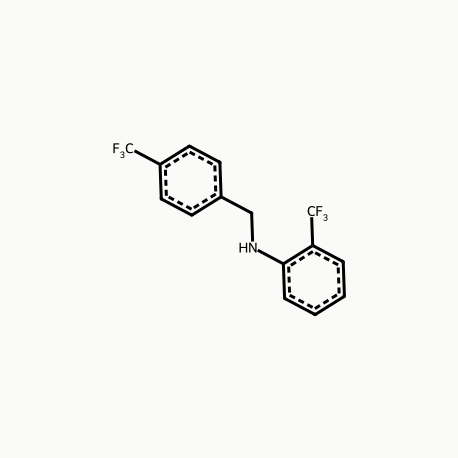 FC(F)(F)c1ccc(CNc2ccccc2C(F)(F)F)cc1